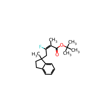 CC(C(=O)OC(C)(C)C)=C(F)CC1(C)CCc2ccccc21